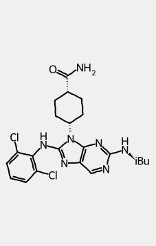 CC[C@H](C)Nc1ncc2nc(Nc3c(Cl)cccc3Cl)n([C@H]3CC[C@@H](C(N)=O)CC3)c2n1